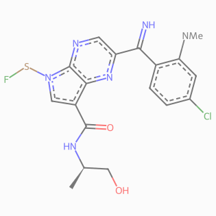 CNc1cc(Cl)ccc1C(=N)c1cnc2c(n1)c(C(=O)N[C@H](C)CO)cn2SF